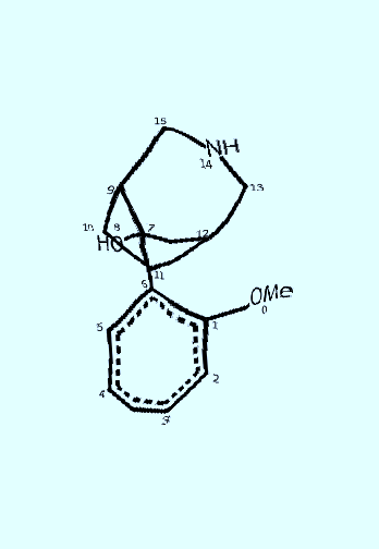 COc1ccccc1C1(O)C2CCC1CNC2